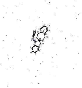 N#C/N=C1/c2ccccc2CC12CCC1C=CC=CC1CC2